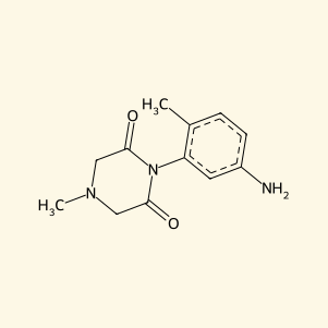 Cc1ccc(N)cc1N1C(=O)CN(C)CC1=O